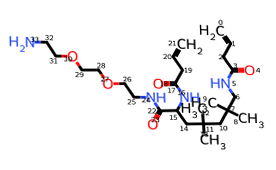 C=CCC(=O)NCC(C)(C)CC(C)(C)CC(NC(=O)CC=C)C(=O)NCCOCCOCCN